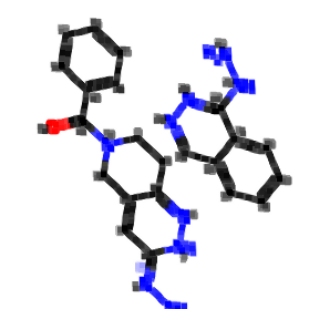 N/N=c1/cc2c(n[nH]1)CCN(C(=O)c1ccccc1)C2.NNc1nncc2ccccc12